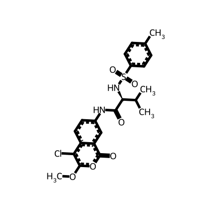 COc1oc(=O)c2cc(NC(=O)[C@@H](NS(=O)(=O)c3ccc(C)cc3)C(C)C)ccc2c1Cl